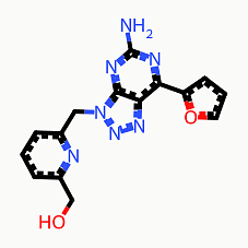 Nc1nc(-c2ccco2)c2nnn(Cc3cccc(CO)n3)c2n1